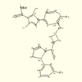 CNC(=O)c1c(C)nn(-c2cc(OC3CN(C(=O)N4N=CCC4c4cccc(F)c4)C3)c(F)cn2)c1C